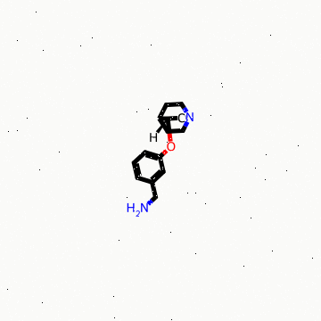 NCc1cccc(O[C@H]2CN3CCC2CC3)c1